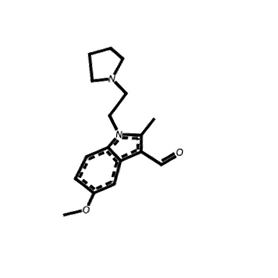 COc1ccc2c(c1)c(C=O)c(C)n2CCN1CCCC1